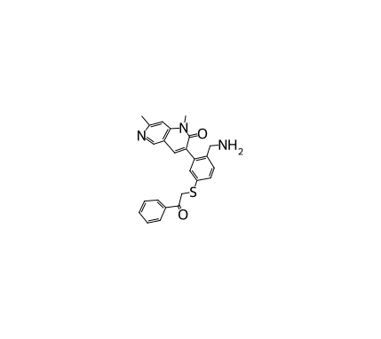 Cc1cc2c(cn1)cc(-c1cc(SCC(=O)c3ccccc3)ccc1CN)c(=O)n2C